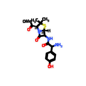 [CH2]OC(=O)[C@@H]1N2C(=O)C(NC(=O)C(N)c3ccc(O)cc3)[C@H]2SC1(C)C